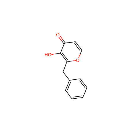 O=c1ccoc(Cc2ccccc2)c1O